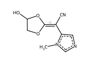 Cn1cncc1/C(C#N)=C1\OCC(O)O1